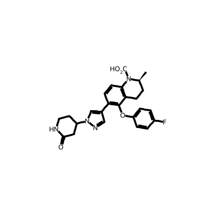 C[C@H]1CCc2c(ccc(-c3cnn(C4CCNC(=O)C4)c3)c2Oc2ccc(F)cc2)N1C(=O)O